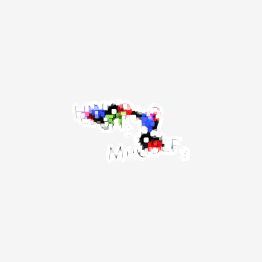 COc1ccc(-c2ccc(=O)n(CCCCOc3ccc(C4=NNC(=O)CC4C)c(F)c3F)n2)c2cc(C(F)(F)F)oc12